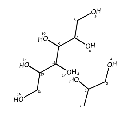 CC(O)CO.OCC(O)C(O)C(O)C(O)CO